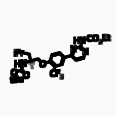 CCOC(=O)Nc1nccc(-c2ccc(OC[C@](C)(CC(C)C)NC(=O)OC(C)(C)C)c(C(F)(F)F)c2)n1